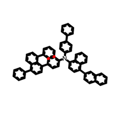 c1ccc(-c2ccc(N(c3ccc(-c4ccc(-c5ccccc5)c5cccc(-c6ccccc6)c45)cc3)c3ccc(-c4ccc5ccccc5c4)c4ccccc34)cc2)cc1